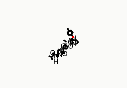 CC[C@H]1O[C@@H](n2ccc(NC(=O)C(C)C)nc2=O)CC1O[P@@]1O[C@](C)(Cc2ccc(C)cc2)[C@@H]2CCCN21